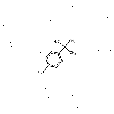 Bc1ccc(C(C)(C)C)nc1